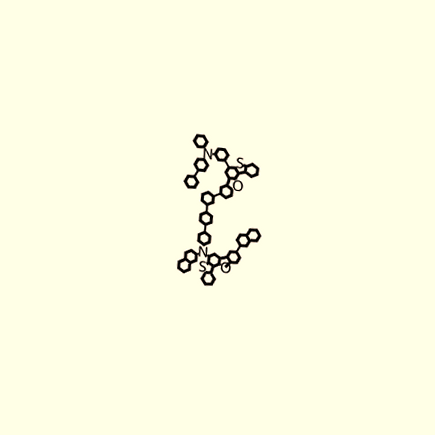 c1ccc(-c2ccc(N(c3ccccc3)c3cccc(-c4cc5c6cc(-c7cccc(-c8ccc(-c9ccc(N(c%10ccc%11ccccc%11c%10)c%10cc%11c%12cc(-c%13ccc%14ccccc%14c%13)ccc%12oc%11c%11c%10sc%10ccccc%10%11)cc9)cc8)c7)ccc6oc5c5c4sc4ccccc45)c3)cc2)cc1